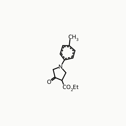 CCOC(=O)C1CN(c2ccc(C)cc2)CC1=O